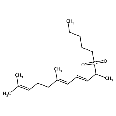 CCCCCS(=O)(=O)C(C)/C=C/C=C(\C)CCC=C(C)C